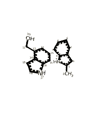 Cc1cc2ccccc2[nH]1.OCc1cccc2[nH]ccc12